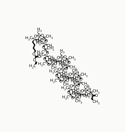 C=COC(=O)OCCCC[Si](C)(C)O[Si](C)(C)O[Si](C)(C)O[Si](C)(C)O[Si](C)(C)O[Si](C)(C)O[Si](C)(C)O[Si](C)(C)O[Si](C)(C)O[Si](C)(C)O[Si](C)(C)O[Si](C)(C)O[Si](C)(C)O[Si](C)(C)O[Si](C)(C)O[Si](C)(C)O[Si](C)(C)O[Si](C)(C)O[Si](C)(C)O[Si](C)(C)O[Si](C)(C)O[Si](C)(C)O[Si](C)(C)O[Si](C)(C)O[Si](C)(C)O[Si](C)(C)O[Si](C)(C)C(=O)C=C